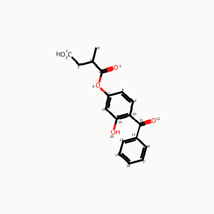 CC(CC(=O)O)C(=O)Oc1ccc(C(=O)c2ccccc2)c(O)c1